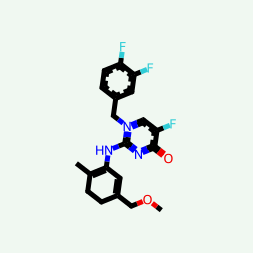 COCC1=CC(Nc2nc(=O)c(F)cn2Cc2ccc(F)c(F)c2)=C(C)CC1